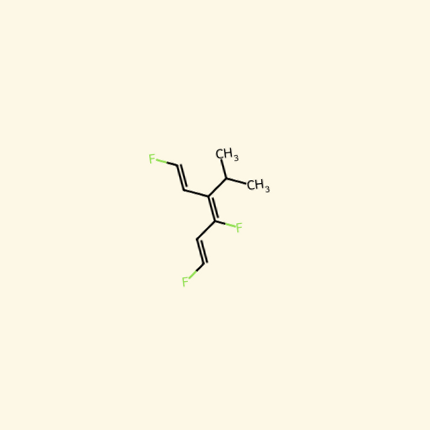 CC(C)C(/C=C/F)=C(F)/C=C/F